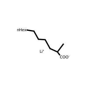 CCCCCCCCCCC(C)C(=O)[O-].[Li+]